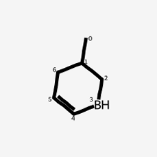 CC1CBC=CC1